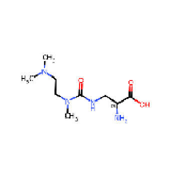 CN(C)CCN(C)C(=O)NC[C@H](N)C(=O)O